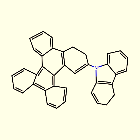 C1=Cc2c(c3ccccc3n2C2=Cc3c(c4ccccc4c4c5ccccc5c5ccccc5c34)CC2)CC1